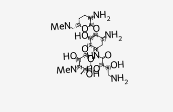 CNC[C@@H]1CC[C@@H](N)[C@@H](O[C@H]2[C@@H](O)[C@@H](O[C@H]3OC[C@](C)(O)[C@H](NC)[C@H]3O)[C@H](NC(=O)[C@@H](O)[C@H](O)CN)C[C@@H]2N)O1